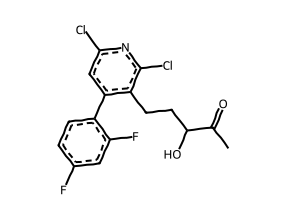 CC(=O)C(O)CCc1c(-c2ccc(F)cc2F)cc(Cl)nc1Cl